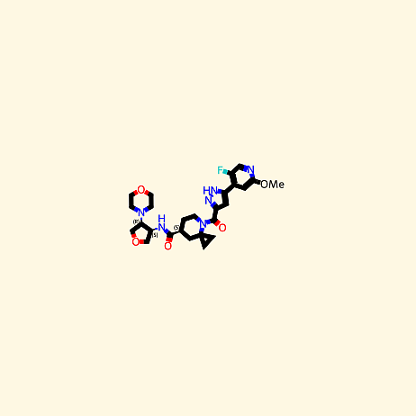 COc1cc(-c2cc(C(=O)N3CC[C@H](C(=O)N[C@@H]4COC[C@@H]4N4CCOCC4)CC34CC4)n[nH]2)c(F)cn1